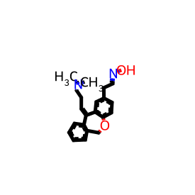 CN(C)CC/C=C1/c2ccccc2COc2ccc(C/C=N/O)cc21